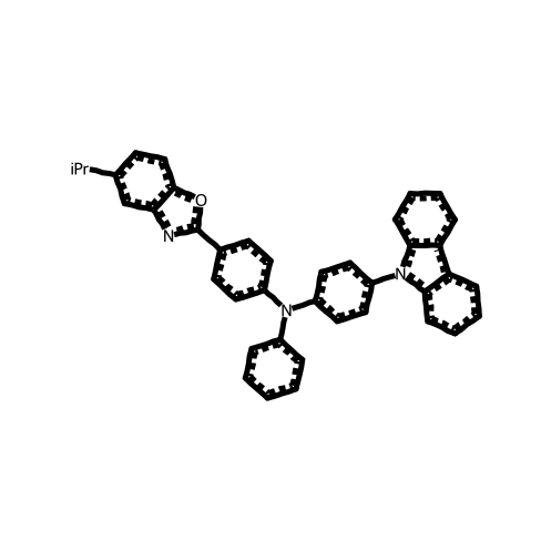 CC(C)c1ccc2oc(-c3ccc(N(c4ccccc4)c4ccc(-n5c6ccccc6c6ccccc65)cc4)cc3)nc2c1